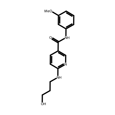 COc1cccc(NC(=O)c2ccc(NCCCO)nc2)c1